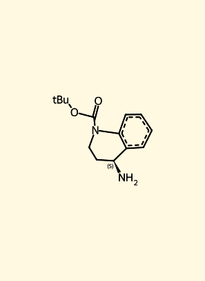 CC(C)(C)OC(=O)N1CC[C@H](N)c2ccccc21